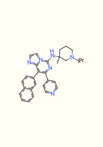 CC(C)N1CCCC(C)(Nc2nc(-c3ccncc3)c(-c3ccc4ccccc4c3)c3nccn23)C1